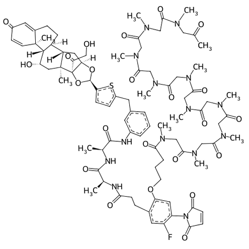 CC(=O)CN(C)C(=O)CN(C)C(=O)CN(C)C(=O)CN(C)C(=O)CN(C)C(=O)CN(C)C(=O)CN(C)C(=O)CN(C)C(=O)CN(C)C(=O)CN(C)C(=O)CCCOc1cc(N2C(=O)C=CC2=O)c(F)cc1CCC(=O)N[C@@H](C)C(=O)N[C@@H](C)C(=O)Nc1cccc(Cc2ccc([C@@H]3O[C@@H]4C[C@H]5[C@@H]6CCC7=CC(=O)C=C[C@]7(C)[C@H]6[C@@H](O)C[C@]5(C)[C@]4(C(=O)CO)O3)s2)c1